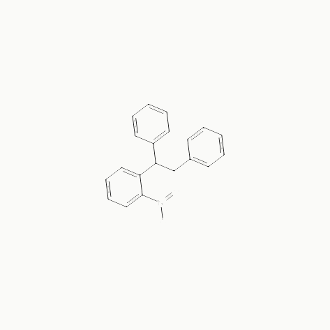 O=[N+]([O-])c1ccccc1C(Cc1ccccc1)c1ccccc1